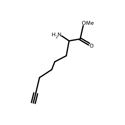 C#CCCCCC(N)C(=O)OC